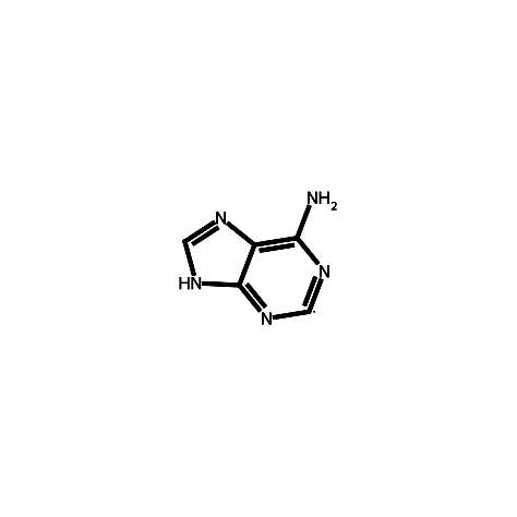 Nc1n[c]nc2[nH]cnc12